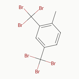 Cc1ccc(C(Br)(Br)Br)cc1C(Br)(Br)Br